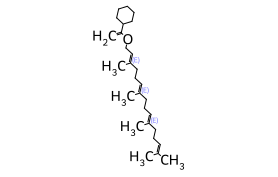 C=C(OC/C=C(\C)CC/C=C(\C)CC/C=C(\C)CCC=C(C)C)C1CCCCC1